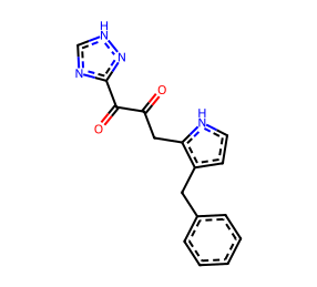 O=C(Cc1[nH]ccc1Cc1ccccc1)C(=O)c1nc[nH]n1